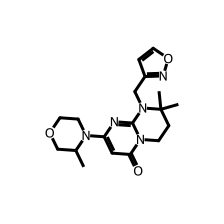 CC1COCCN1c1cc(=O)n2c(n1)N(Cc1ccon1)C(C)(C)CC2